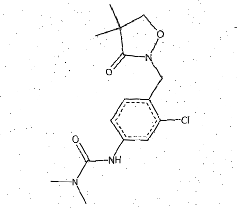 CN(C)C(=O)Nc1ccc(CN2OCC(C)(C)C2=O)c(Cl)c1